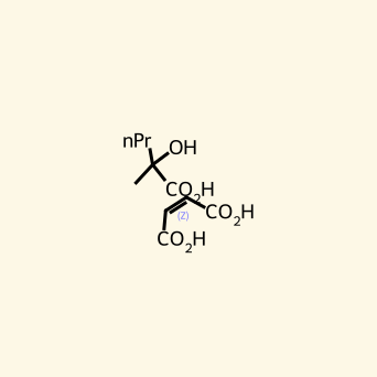 CCCC(C)(O)C(=O)O.O=C(O)/C=C\C(=O)O